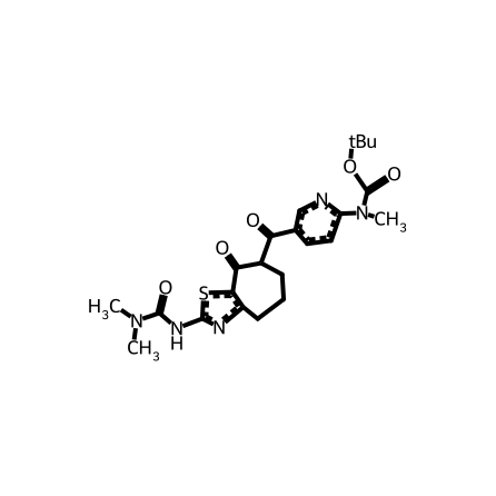 CN(C)C(=O)Nc1nc2c(s1)C(=O)C(C(=O)c1ccc(N(C)C(=O)OC(C)(C)C)nc1)CCC2